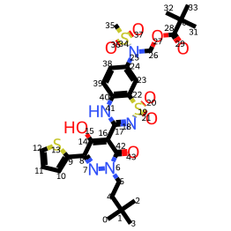 CC(C)(C)CCn1nc(-c2cccs2)c(O)c(C2=NS(=O)(=O)c3cc(N(COC(=O)C(C)(C)C)S(C)(=O)=O)ccc3N2)c1=O